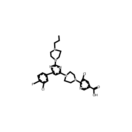 CCCN1CCN(c2nc(-c3ccc(F)c(Cl)c3)cc(N3CCN(c4ncc(C(=O)O)cc4Cl)CC3)n2)CC1